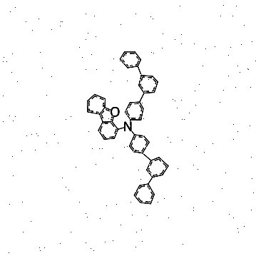 c1ccc(-c2cccc(-c3ccc(N(c4ccc(-c5cccc(-c6ccccc6)c5)cc4)c4cccc5c4oc4ccccc45)cc3)c2)cc1